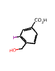 O=C(O)c1ccc(CO)c(I)c1